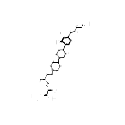 C=C(C)C(=O)OCC(CO)CCC1CCC(C2CCC(c3ccc(CCCCC)c(F)c3F)CC2)CC1